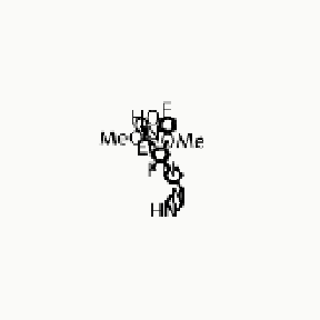 CC[C@]1(OC)C(=O)N(c2cccc(F)c2O)[C@H]1c1cc(F)c(N2CCC(CN3CCNCC3)CC2)cc1OC